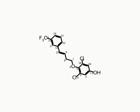 Oc1cc(Cl)c(OCC/C=C/c2cccc(C(F)(F)F)c2)c(Cl)c1